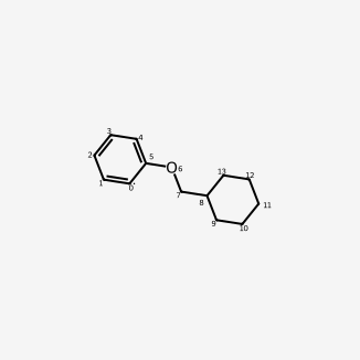 [c]1ccccc1OCC1CCCCC1